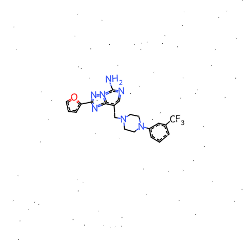 Nc1ncc(CN2CCN(c3cccc(C(F)(F)F)c3)CC2)c2nc(-c3ccco3)nn12